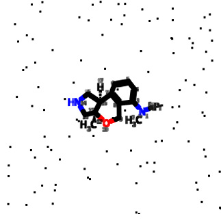 CC(C)N(C)c1cccc2c1CO[C@@]1(C)CNC[C@@H]21